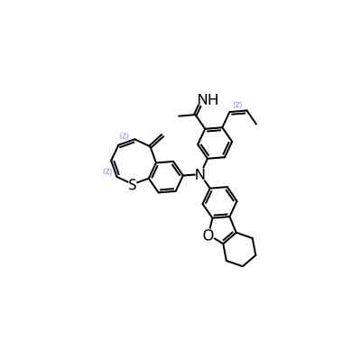 C=C1/C=C\C=C/Sc2ccc(N(c3ccc(/C=C\C)c(C(C)=N)c3)c3ccc4c5c(oc4c3)CCCC5)cc21